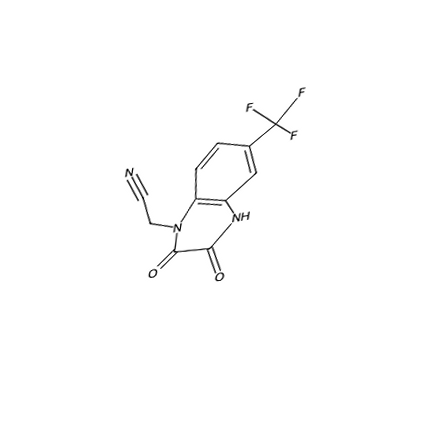 N#CCn1c(=O)c(=O)[nH]c2cc(C(F)(F)F)ccc21